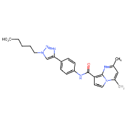 Cc1cc(C)n2ccc(C(=O)Nc3ccc(-c4cn(CCCCC(=O)O)nn4)cc3)c2n1